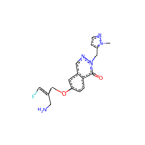 Cn1nccc1Cn1ncc2cc(OC/C(=C/F)CN)ccc2c1=O